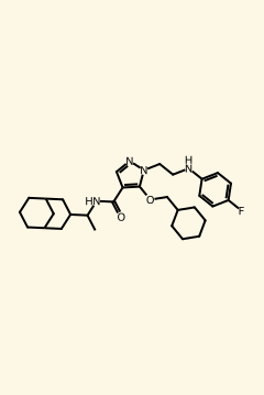 CC(NC(=O)c1cnn(CCNc2ccc(F)cc2)c1OCC1CCCCC1)C1CC2CCCC(C2)C1